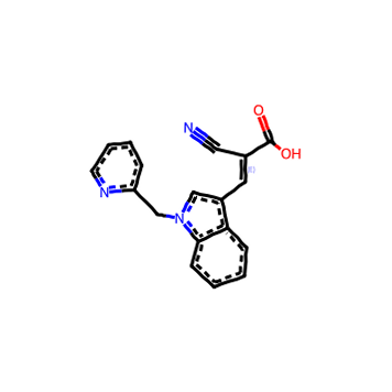 N#C/C(=C\c1cn(Cc2ccccn2)c2ccccc12)C(=O)O